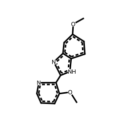 COc1ccc2[nH]c(-c3ncccc3OC)nc2c1